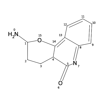 NC1CCC2C(=O)N=c3ccccc3=C2O1